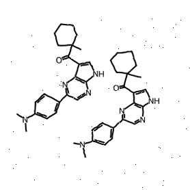 CN(C)c1ccc(-c2cnc3[nH]cc(C(=O)C4(C)CCCCC4)c3n2)cc1.CN(C)c1ccc(-c2cnc3[nH]cc(C(=O)C4(C)CCCCC4)c3n2)cc1